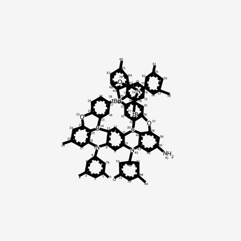 Cc1cc(C)cc(N2c3cc4c(cc3B3c5cc(C(C)(C)C)ccc5Oc5cc(C)cc2c53)B2c3cc5c(cc3Oc3cc(N)cc(c32)N4c2cc(C)cc(C)c2)N(c2cc(C)cc(C)c2)c2cc(C)cc3c2B5c2c(cccc2C(C)(C)C)O3)c1